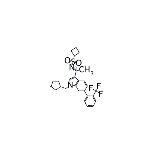 C/C(=N\S(=O)(=O)C1CCC1)c1cn(CC2CCCC2)c2cc(-c3ccccc3C(F)(F)F)ccc12